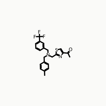 CC(=O)c1csc(CN(Cc2ccc(C)cc2)Cc2cccc(C(F)(F)F)c2)n1